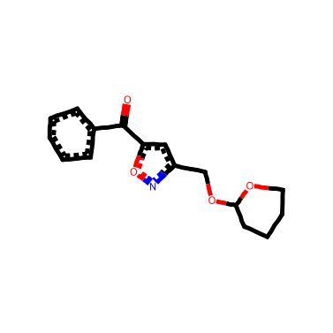 O=C(c1ccccc1)c1cc(COC2CCCCO2)no1